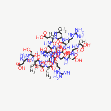 CC(C)C[C@H](NC(=O)[C@H](CCCNC(=N)N)NC(=O)[C@H](CO)NC(=O)[C@H](Cc1c[nH]cn1)NC(=O)[C@H](CCCNC(=N)N)NC(=O)[C@H](C)NC(=O)[C@H](C)NC(=O)[C@@H](NC(=O)[C@H](CO)NC(=O)[C@@H](N)CC(=O)O)[C@@H](C)O)C(=O)N[C@@H](CCC(=O)O)C(=O)N[C@@H](CO)C(=O)N[C@@H](CO)C(=O)N[C@@H](CC(=O)O)C(=O)NCC(=O)N[C@@H](CC(=O)O)C(=O)NCC(=O)N[C@@H](C)C(=O)O